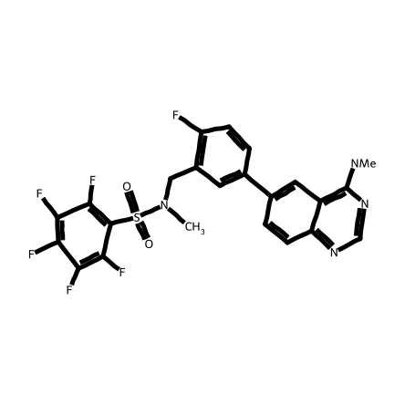 CNc1ncnc2ccc(-c3ccc(F)c(CN(C)S(=O)(=O)c4c(F)c(F)c(F)c(F)c4F)c3)cc12